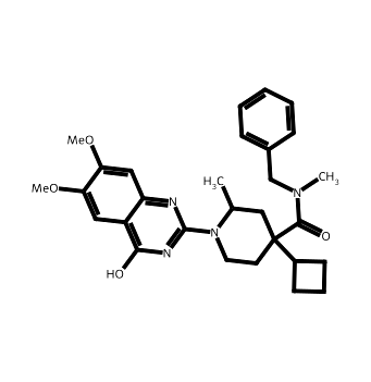 COc1cc2nc(N3CCC(C(=O)N(C)Cc4ccccc4)(C4CCC4)CC3C)nc(O)c2cc1OC